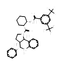 O=C(N[C@@H]1CCCC[C@@H]1C(=O)N1CC[C@@H]2[C@H](c3ccccc3)Nc3ccccc3[C@@H]21)c1cc(C(F)(F)F)cc(C(F)(F)F)c1